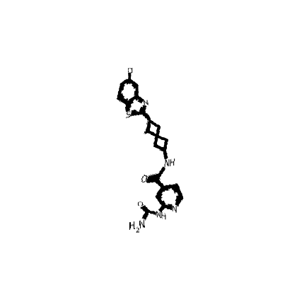 NC(=O)Nc1cc(C(=O)NC2CC3(C2)CC(c2nc4cc(Cl)ccc4s2)C3)ccn1